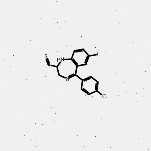 S=CC1CN=C(c2ccc(Cl)cc2)c2cc(I)ccc2N1